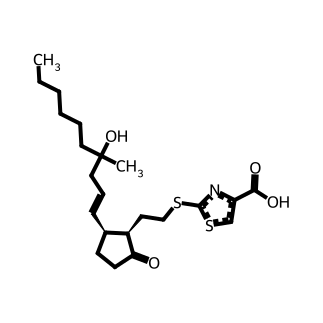 CCCCCCC(C)(O)C/C=C/[C@@H]1CCC(=O)[C@@H]1CCSc1nc(C(=O)O)cs1